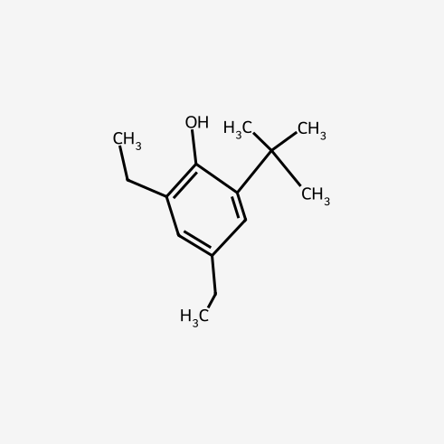 CCc1cc(CC)c(O)c(C(C)(C)C)c1